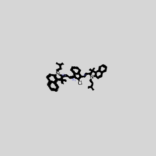 CC(C)CCN1/C(=C/C=C2C(Cl)=C(/C=C/C3=[N+](CCC(C)C)c4ccc5ccccc5c4C3(C)C)c3ccccc3/2)C(C)(C)c2c1ccc1ccccc21